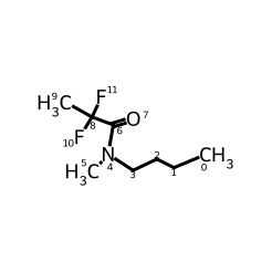 CCCCN(C)C(=O)C(C)(F)F